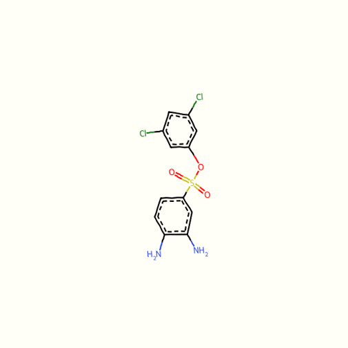 Nc1ccc(S(=O)(=O)Oc2cc(Cl)cc(Cl)c2)cc1N